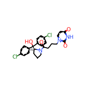 O=C(CCCn1ccc(=O)[nH]c1=O)N1CCC[C@H]1C(O)(c1ccc(Cl)cc1)c1ccc(Cl)cc1